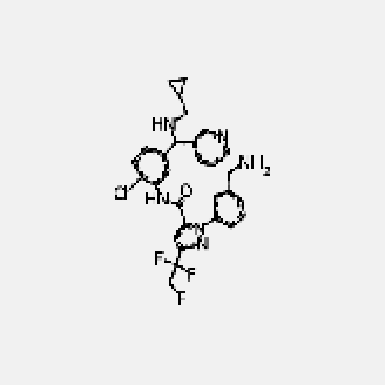 NCc1cccc(-n2nc(C(F)(F)CF)cc2C(=O)Nc2cc(C(NCC3CC3)c3cccnc3)ccc2Cl)c1